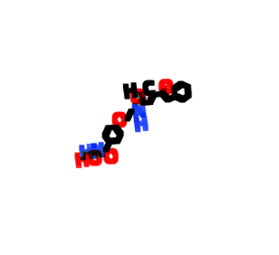 CC(=CC(=O)NCCOc1ccc(C(=O)NO)cc1)c1cc2ccccc2o1